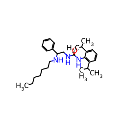 CCCCCCCNC(CNC(=O)Nc1c(C(C)C)cccc1C(C)C)c1ccccc1